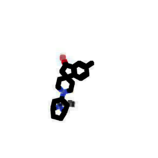 CCOC(=O)N1C2CCC1CC(N1CCC3(CC1)CC(=O)c1cc(C)ccc13)C2